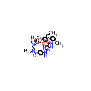 CCCc1ccc(Oc2nc(Nc3ccc(C(=O)N(C)CCN(CC)CC)cc3)ncc2C(=O)Nc2c(C)cccc2C)c(OC)c1